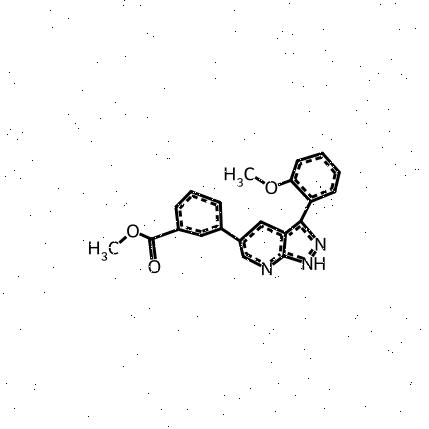 COC(=O)c1cccc(-c2cnc3[nH]nc(-c4ccccc4OC)c3c2)c1